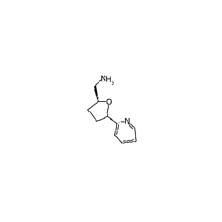 NC[C@@H]1CCC(c2ccccn2)O1